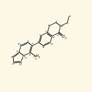 CCN1CCc2cc(-c3cnc4ccnn4c3N)ccc2C1=O